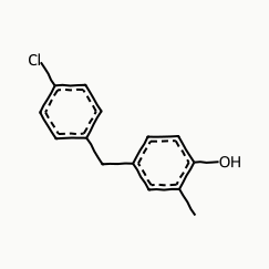 Cc1cc(Cc2ccc(Cl)cc2)ccc1O